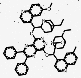 CCC1CN2CCC1CC2C(Oc1nnc(OC(c2ccnc3ccc(OC)cc23)C2CC3CCN2CC3CC)c2nc(-c3ccccc3)c(-c3ccccc3)nc12)c1ccnc2ccc(C)cc12